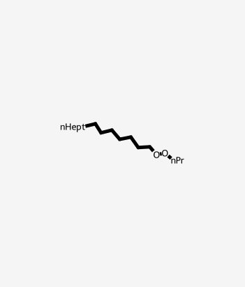 CCCCCCCCCCCCCCOOCCC